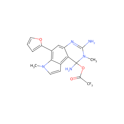 CN1C(N)=Nc2cc(-c3ccco3)c3c(ccn3C)c2C1(N)OC(=O)C(F)(F)F